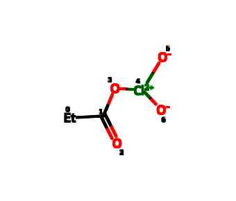 CCC(=O)O[Cl+2]([O-])[O-]